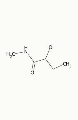 CCC([O])C(=O)NC